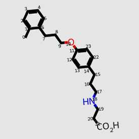 Cc1ccccc1CCCOc1ccc(CCCNCCC(=O)O)cc1